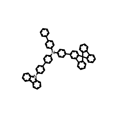 c1ccc(-c2ccc(N(c3ccc(-c4ccc(-n5c6ccccc6c6ccccc65)cc4)cc3)c3ccc(-c4ccc5c(c4)-c4ccccc4C54c5ccccc5-c5ccccc54)cc3)cc2)cc1